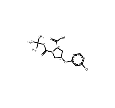 CC(C)(C)OC(=O)N1C[C@H](Oc2cc(Cl)ncn2)C[C@H]1C(=O)O